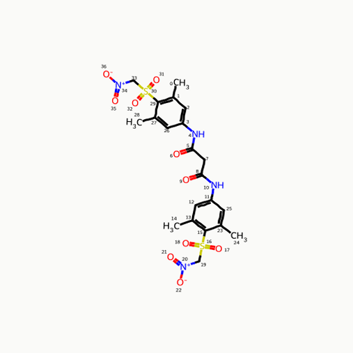 Cc1cc(NC(=O)CC(=O)Nc2cc(C)c(S(=O)(=O)C[N+](=O)[O-])c(C)c2)cc(C)c1S(=O)(=O)C[N+](=O)[O-]